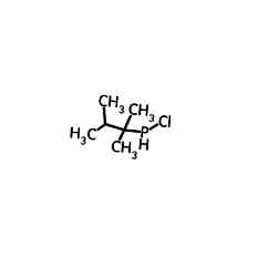 CC(C)C(C)(C)PCl